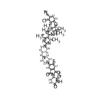 Cc1nc(N2CCC(CN3CCN(c4cc5c(cc4F)C(=O)N(C4CCC(=O)NC4=O)C5=O)CC3)CC2)nc(C)c1C(=O)N[C@H]1C(C)(C)[C@H](Oc2ccc(C#N)c(Cl)c2)C1(C)C